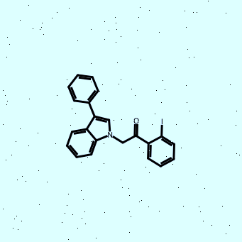 O=C(Cn1cc(-c2ccccc2)c2ccccc21)c1ccccc1I